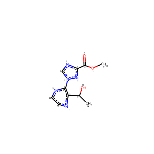 COC(=O)c1ncn(-c2nccnc2C(C)O)n1